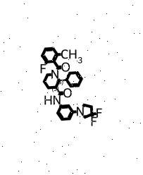 Cc1cccc(F)c1C(=O)N1CCC[C@H](C(=O)Nc2cccc(N3CCC(F)(F)C3)c2)[C@@H]1C1C=CC=CC1